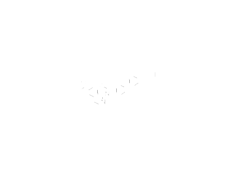 COC(=O)c1ccc2c(N(Cc3ccc(-c4ccc(CCO)cc4)cc3)C(=O)CC(C)(C)C)nccc2c1